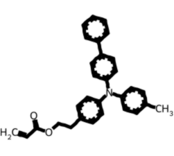 C=CC(=O)OCCc1ccc(N(c2ccc(C)cc2)c2ccc(-c3ccccc3)cc2)cc1